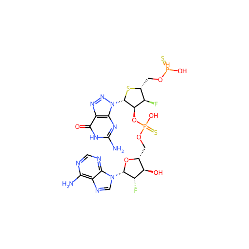 Nc1nc2c(nnn2[C@@H]2S[C@H](CO[PH](O)=S)[C@@H](F)[C@H]2OP(O)(=S)OC[C@H]2O[C@@H](n3cnc4c(N)ncnc43)[C@@H](F)[C@@H]2O)c(=O)[nH]1